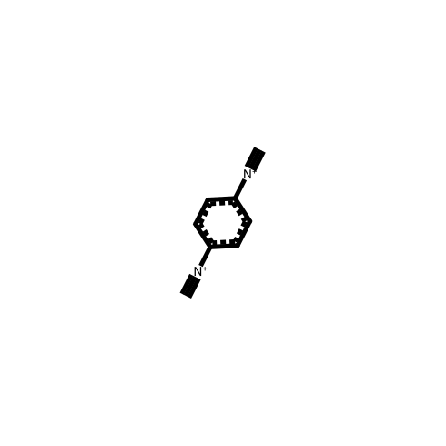 C#[N+]c1ccc([N+]#C)cc1